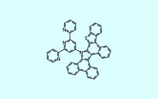 c1ccc(-c2cc(-n3c4c5ccccc5c5ccccc5c4c4c5ccccc5c5c6ccccc6sc5c43)cc(-c3ccccn3)n2)nc1